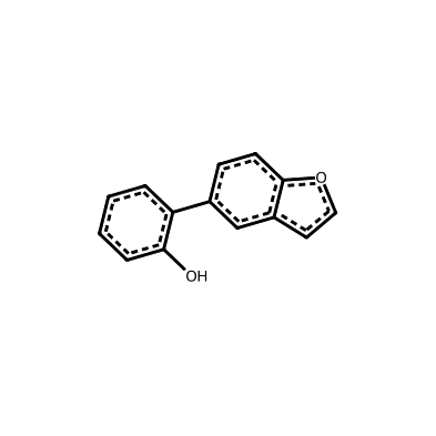 Oc1ccccc1-c1ccc2occc2c1